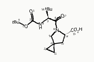 CC(C)(C)OC(=O)N[C@H](C(=O)N1CC2(CC2)C[C@H]1C(=O)O)C(C)(C)C